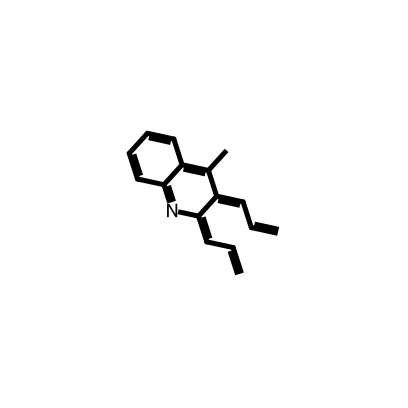 C=C/C=c1/c(C)c2ccccc2n/c1=C/C=C